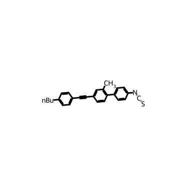 CCCCc1ccc(C#Cc2ccc(-c3ccc(N=C=S)cc3)c(C)c2)cc1